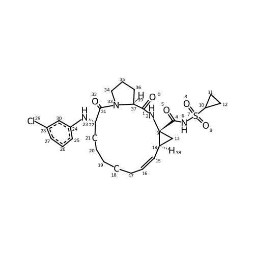 O=C1N[C@]2(C(=O)NS(=O)(=O)C3CC3)C[C@H]2/C=C\CCCCC[C@H](Nc2cccc(Cl)c2)C(=O)N2CCC[C@@H]12